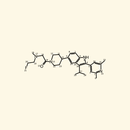 Cc1cc(-c2[nH]c3ccc(C4CCN(C(=O)CN(C)CCF)CC4)cc3c2C(C)C)cc(C)n1